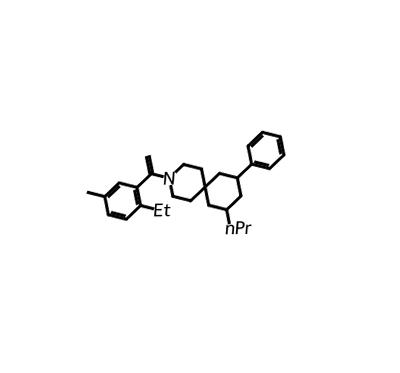 C=C(c1cc(C)ccc1CC)N1CCC2(CC1)CC(CCC)CC(c1ccccc1)C2